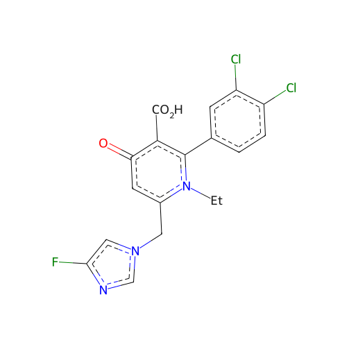 CCn1c(Cn2cnc(F)c2)cc(=O)c(C(=O)O)c1-c1ccc(Cl)c(Cl)c1